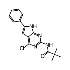 CC(C)(C)C(=O)Nc1nc(Cl)c2cc(-c3ccccc3)[nH]c2n1